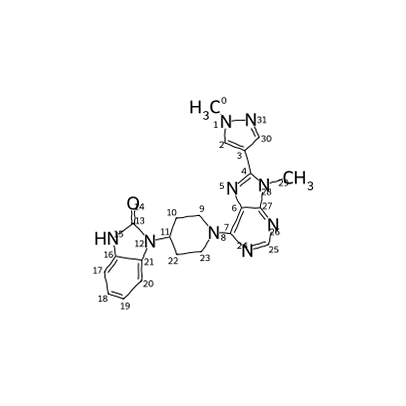 Cn1cc(-c2nc3c(N4CCC(n5c(=O)[nH]c6ccccc65)CC4)ncnc3n2C)cn1